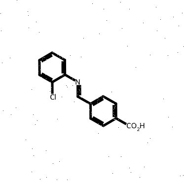 O=C(O)c1ccc(C=Nc2ccccc2Cl)cc1